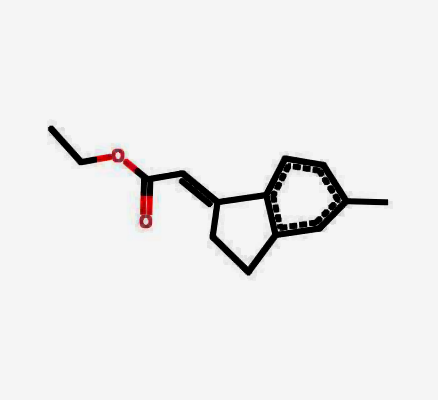 CCOC(=O)/C=C1\CCc2cc(C)ccc21